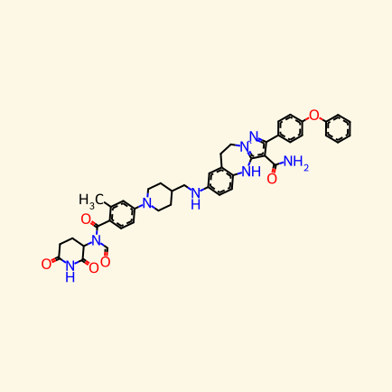 Cc1cc(N2CCC(CNc3ccc4c(c3)CCn3nc(-c5ccc(Oc6ccccc6)cc5)c(C(N)=O)c3N4)CC2)ccc1C(=O)N(C=O)C1CCC(=O)NC1=O